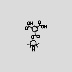 CC1(C)CC(OC(=O)c2cc(C(=O)O)cc(C(=O)O)c2)CC(C)(C)N1